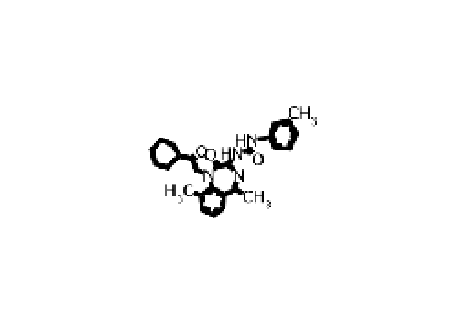 CC1=NC(NC(=O)Nc2cccc(C)c2)C(=O)N(CC(=O)C2CCCCC2)c2c(C)cccc21